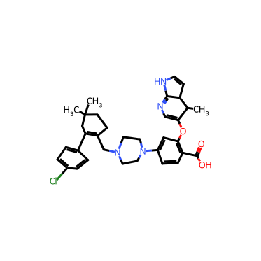 CC1C(Oc2cc(N3CCN(CC4=C(c5ccc(Cl)cc5)CC(C)(C)CC4)CC3)ccc2C(=O)O)=CN=C2NC=CC21